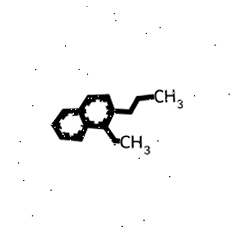 C[CH]c1c(CCC)ccc2ccccc12